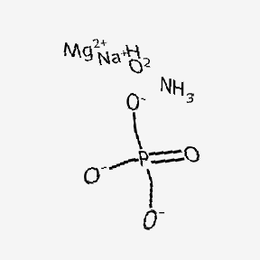 N.O.O=P([O-])([O-])[O-].[Mg+2].[Na+]